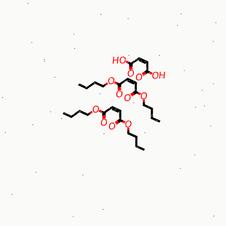 CCCCOC(=O)/C=C\C(=O)OCCCC.CCCCOC(=O)/C=C\C(=O)OCCCC.O=C(O)/C=C\C(=O)O